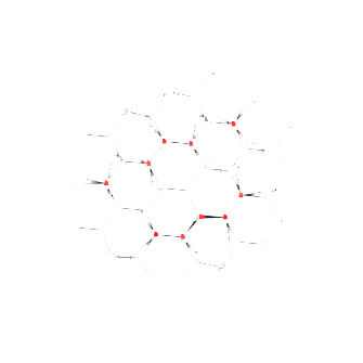 PP(P)P(P)P(P(P(P)P)P(P)P)P(P(P(P(P)P)P(P)P)P(P(P)P)P(P)P)P(P(P(P(P)P)P(P)P)P(P(P)P)P(P)P)P(P(P(P(P)P)P(P)P)P(P(P)P)P(P)P)P(P(P(P)P)P(P)P)P(P(P)P)P(P)P